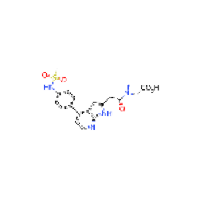 CS(=O)(=O)Nc1ccc(-c2ccnc3[nH]c(CC(=O)NCC(=O)O)cc23)cc1